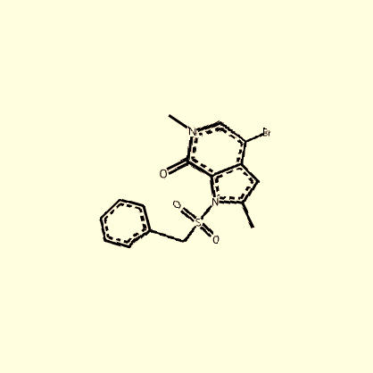 Cc1cc2c(Br)cn(C)c(=O)c2n1S(=O)(=O)Cc1ccccc1